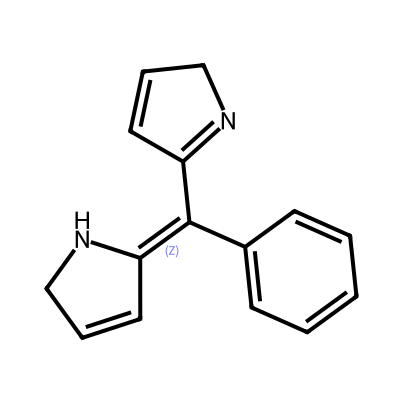 C1=CC(/C(=C2/C=CCN2)c2ccccc2)=NC1